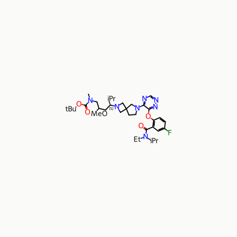 CCN(C(=O)c1cc(F)ccc1Oc1nncnc1N1CCC2(C1)CN([C@@H](CC(CN(C)C(=O)OC(C)(C)C)OC)C(C)C)C2)C(C)C